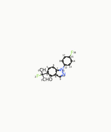 CC(F)(C=O)c1ccc2c(cnn2-c2ccc(F)cc2)c1